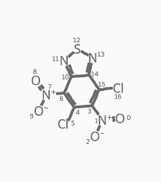 O=[N+]([O-])c1c(Cl)c([N+](=O)[O-])c2nsnc2c1Cl